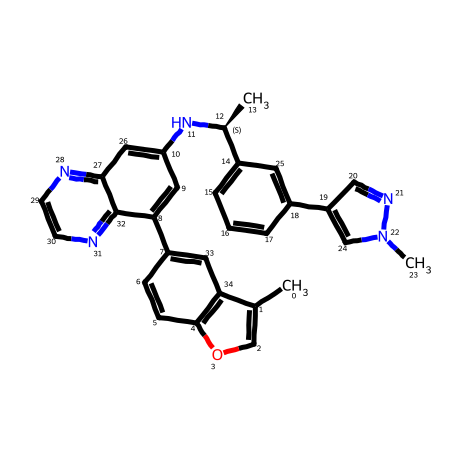 Cc1coc2ccc(-c3cc(N[C@@H](C)c4cccc(-c5cnn(C)c5)c4)cc4nccnc34)cc12